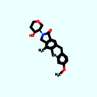 COc1ccc(Cc2cc3c(c(C)c2C)CN([C@H]2COCC[C@@H]2O)C3=O)cc1